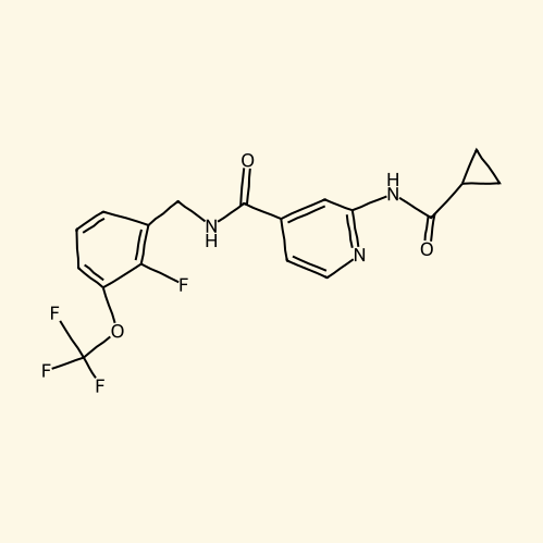 O=C(NCc1cccc(OC(F)(F)F)c1F)c1ccnc(NC(=O)C2CC2)c1